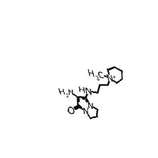 C[N+]1(CCCNc2c(N)c(=O)n3n2CCC3)CCCCC1